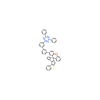 c1ccc(-c2nc(-c3ccccc3)nc(-c3cccc(-c4cccc(-c5ccc6c(c5)C5(c7ccccc7O6)c6ccccc6-c6c5ccc5sc7ccccc7c65)c4)c3)n2)cc1